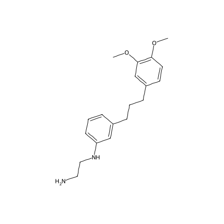 COc1ccc(CCCc2cccc(NCCN)c2)cc1OC